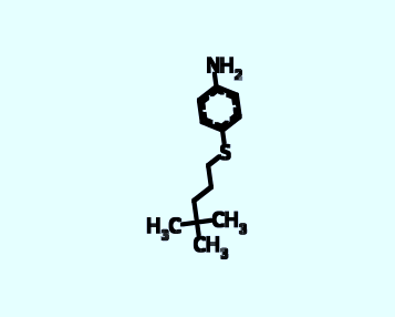 CC(C)(C)CCCSc1ccc(N)cc1